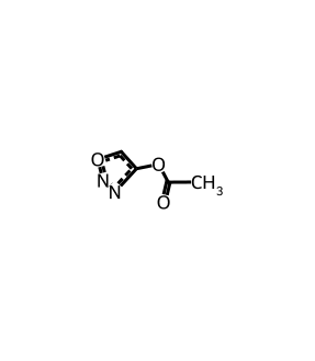 CC(=O)Oc1conn1